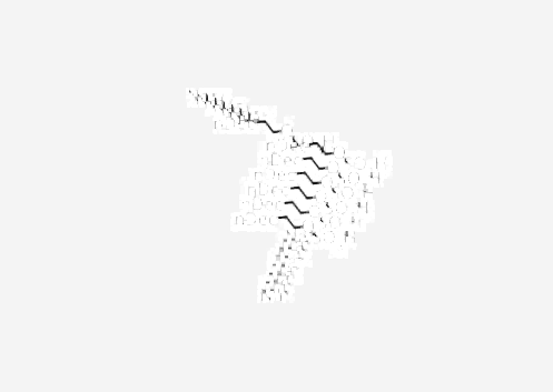 CCCCCCCCCCCCOS(=O)(=O)O.CCCCCCCCCCCCOS(=O)(=O)O.CCCCCCCCCCCCOS(=O)(=O)O.CCCCCCCCCCCCOS(=O)(=O)O.CCCCCCCCCCCCOS(=O)(=O)O.CCCCCCCCCCCCOS(=O)(=O)O.CCCCCCCCCCCCOS(=O)(=O)O.[Na+].[Na+].[Na+].[Na+].[Na+].[Na+].[Na+].[Na+].[Na+].[Na+].[Na+].[Na+].[Na+].[Na+].[Na+]